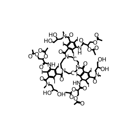 CC(=O)OCC(OC(C)=O)C(=O)Nc1c(I)c(C(=O)N(C)CC(O)CO)c(I)c(C(=O)N2CCCN(C(=O)C3=C(I)C(NC(=O)C(COC(C)=O)OC(C)=O)C(I)C(C(=O)N(C)CC(O)CO)=C3I)CCCN(C(=O)c3c(I)c(NC(=O)C(COC(C)=O)OC(C)=O)c(I)c(C(=O)N(C)CC(O)CO)c3I)CCC2)c1I